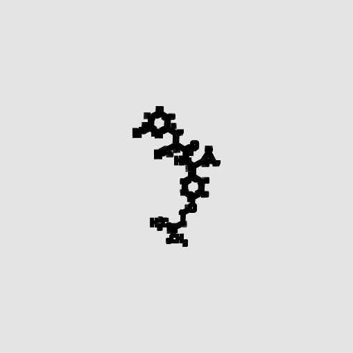 CN(C)CCOc1ccc(C(NC(=O)/C(C#N)=C/c2cccc(Br)n2)C2CC2)cc1